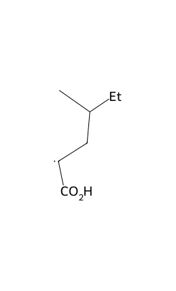 CCC(C)C[CH]C(=O)O